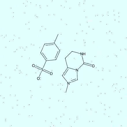 C[n+]1cc2n(c1)C(=O)NCC2.Cc1ccc(S(=O)(=O)[O-])cc1